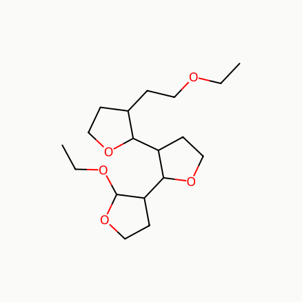 CCOCCC1CCOC1C1CCOC1C1CCOC1OCC